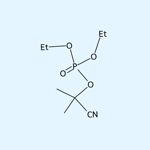 CCOP(=O)(OCC)OC(C)(C)C#N